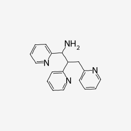 NC(c1ccccn1)C(Cc1ccccn1)c1ccccn1